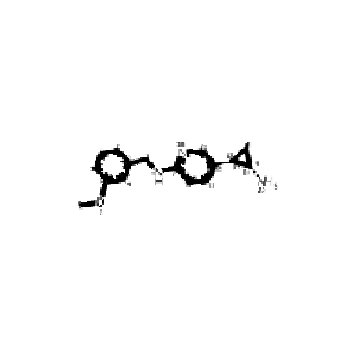 COc1cccc(CNc2ccc([C@H]3C[C@@H]3N)cn2)c1